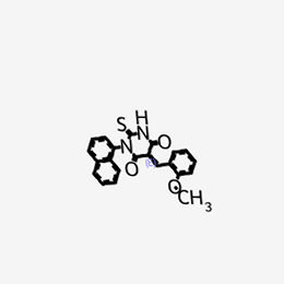 COc1ccccc1/C=C1\C(=O)NC(=S)N(c2cccc3ccccc23)C1=O